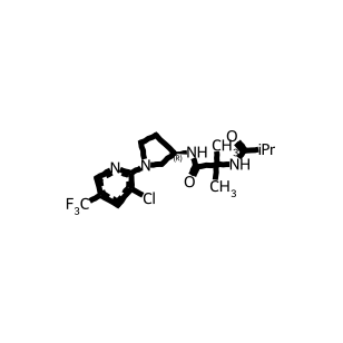 CC(C)C(=O)NC(C)(C)C(=O)N[C@@H]1CCN(c2ncc(C(F)(F)F)cc2Cl)C1